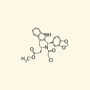 COC(=O)C[C@H]1Cc2c([nH]c3ccccc23)[C@@H](c2ccc3c(c2)OCO3)N1C(=O)CCl